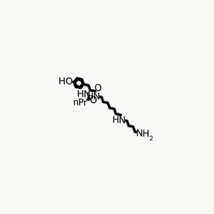 CCCC(=O)NC(Cc1ccc(O)cc1)C(=O)NCCCCCCCNCCCCN